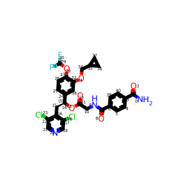 NC(=O)c1ccc(C(=O)NCC(=O)O[C@@H](Cc2c(Cl)cncc2Cl)c2ccc(OC(F)F)c(OCC3CC3)c2)cc1